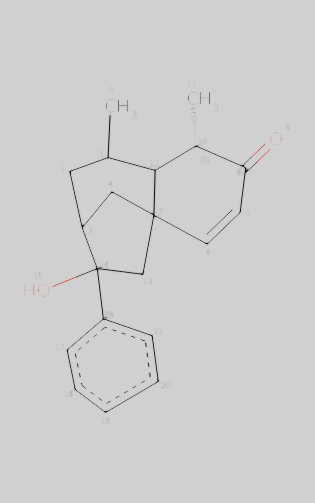 CC1CC2CC3(C=CC(=O)[C@@H](C)C13)CC2(O)c1ccccc1